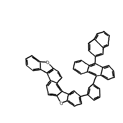 c1cc(-c2ccc3oc4ccc5c(ccc6oc7ccccc7c65)c4c3c2)cc(-c2c3ccccc3c(-c3ccc4ccccc4c3)c3ccccc23)c1